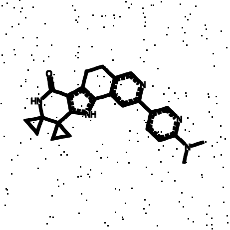 CN(C)c1ccc(-c2cc3c(cn2)CCc2c-3[nH]c3c2C(=O)NC2(CC2)C32CC2)cn1